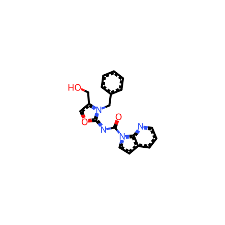 O=C(N=c1occ(CO)n1Cc1ccccc1)n1ccc2cccnc21